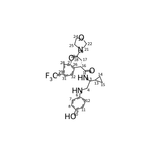 O=C(NC(CNc1ccc(O)cc1)C1CC1)[C@@H](CC(=O)N1CCOCC1)c1ccc(C(F)(F)F)cc1